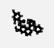 COc1cc2ncnc(-c3c[nH]nc3-c3ccccc3)c2cc1OC(=O)N1CCN(C)C[C@@H]1C